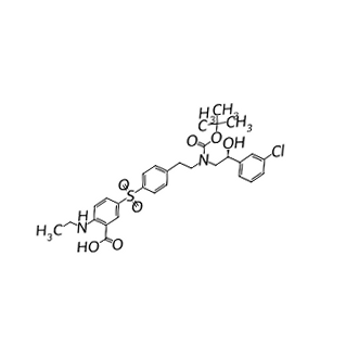 CCNc1ccc(S(=O)(=O)c2ccc(CCN(C[C@@H](O)c3cccc(Cl)c3)C(=O)OC(C)(C)C)cc2)cc1C(=O)O